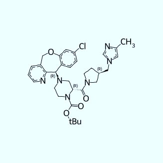 Cc1cn(C[C@@H]2CCN(C(=O)[C@H]3CN([C@@H]4c5ccc(Cl)cc5OCc5cccnc54)CCN3C(=O)OC(C)(C)C)C2)cn1